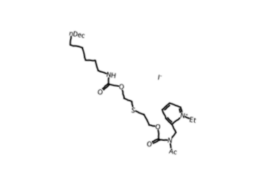 CCCCCCCCCCCCCCCNC(=O)OCCSCCOC(=O)N(Cc1cccc[n+]1CC)C(C)=O.[I-]